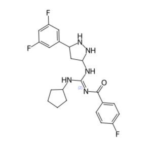 O=C(/N=C(/NC1CCCC1)NC1CC(c2cc(F)cc(F)c2)NN1)c1ccc(F)cc1